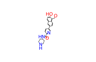 O=Cc1c(O)ccc2cc(-c3ccc(C(=O)NC4CCNCC4)nc3)ccc12